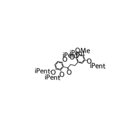 CCCC(C)Oc1cc(CCC(=O)c2c(OC(C)CCC)ccc(OC(C)CCC)c2OC(C)CCC)c(OC(C)CCC)c(OC)c1